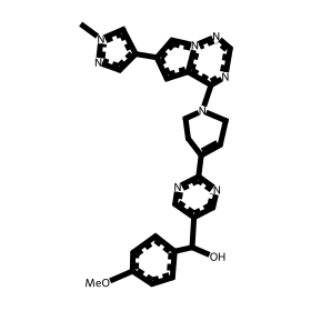 COc1ccc(C(O)c2cnc(C3=CCN(c4ncnn5cc(-c6cnn(C)c6)cc45)CC3)nc2)cc1